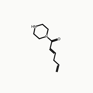 C=CCC=CC(=O)N1CCNCC1